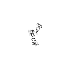 CC(C)S(=O)(=O)c1ccc(-c2cnc3[nH]cc(C(=O)N4CCC5(CC4)OCCO5)c3n2)cc1